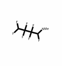 CNC(F)C(F)(F)C(F)(F)C(F)F